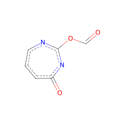 O=COc1ncccc(=O)n1